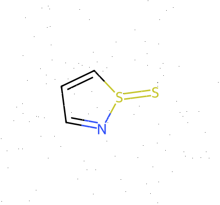 S=S1C=CC=N1